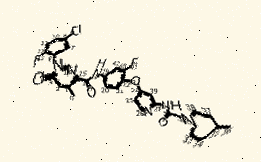 Cc1cc(=O)n(-c2cc(Cl)ccc2F)nc1C(=O)Nc1ccc(Oc2ccnc(NC(=O)N3CCC(C)CC3)c2)c(F)c1